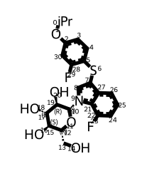 CC(C)Oc1ccc(Sc2cn([C@@H]3O[C@H](CO)[C@@H](O)[C@H](O)[C@H]3O)c3c(F)cccc23)c(F)c1